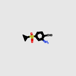 Nc1cc(S(=O)(=O)C2CC2)ccc1C=O